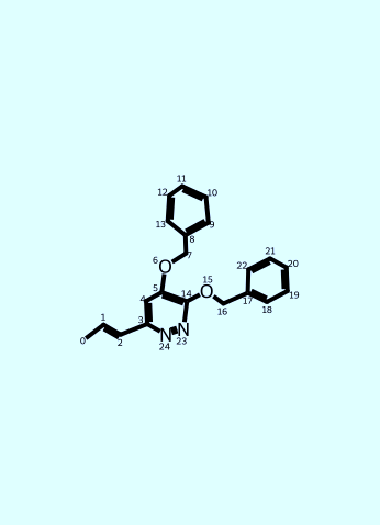 C/C=C/c1cc(OCc2ccccc2)c(OCc2ccccc2)nn1